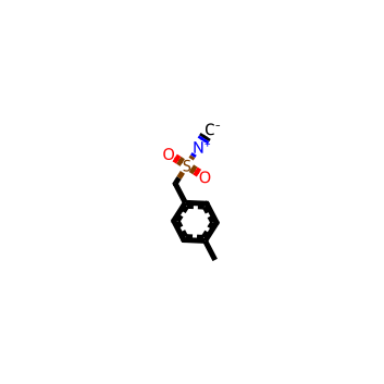 [C-]#[N+]S(=O)(=O)Cc1ccc(C)cc1